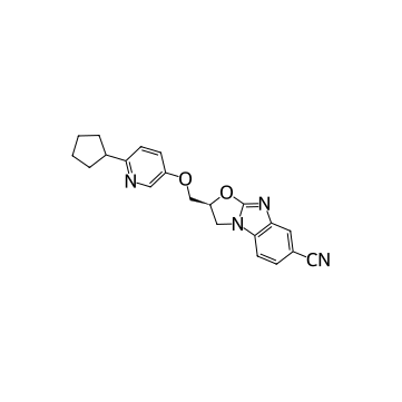 N#Cc1ccc2c(c1)nc1n2C[C@@H](COc2ccc(C3CCCC3)nc2)O1